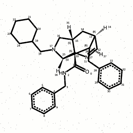 O=C(NCc1ccccc1)[C@]12N=C[C@@H]3C[C@H]1CN(CC1CCCCC1)[C@H]2[C@@H]3Cc1ccccc1